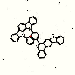 c1ccc(-n2c3ccccc3c3ccc4c5ccccc5n(-c5ccc(-c6nc7ccccc7c7cc8c(cc67)sc6ccccc68)cc5)c4c32)cc1